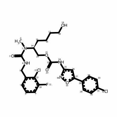 CN(C(=O)NCc1cccc(F)c1Cl)[C@@H](CCCCO)COC(=O)Nc1cc(-c2ccc(Cl)cc2)on1